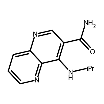 CC(C)Nc1c(C(N)=O)cnc2cccnc12